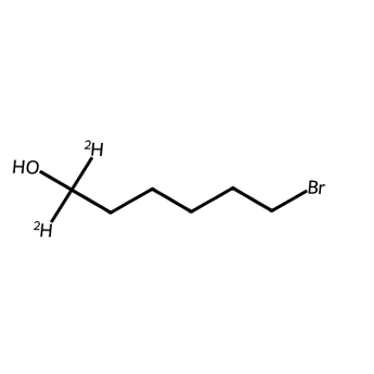 [2H]C([2H])(O)CCCCCBr